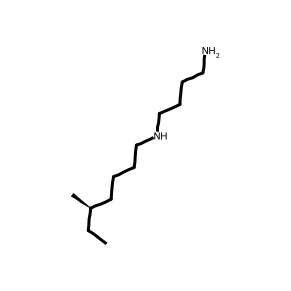 CC[C@@H](C)CCCCNCCCCN